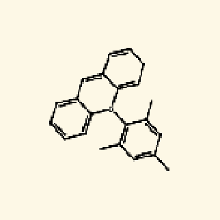 Cc1cc(C)c(B2C3=CCC=CC3=Cc3ccccc32)c(C)c1